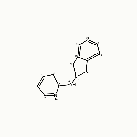 C1=CCC(NN2Cc3ccccc3C2)N=C1